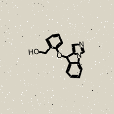 OCc1ccccc1OC1c2ccccc2-n2cncc21